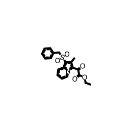 CCOC(=O)C(=O)c1c(C)c(S(=O)(=O)Cc2ccccc2)c2ccccn12